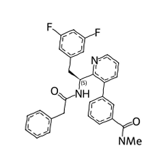 CNC(=O)c1cccc(-c2cccnc2[C@H](Cc2cc(F)cc(F)c2)NC(=O)Cc2ccccc2)c1